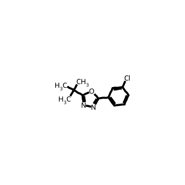 CC(C)(C)c1nnc(-c2cccc(Cl)c2)o1